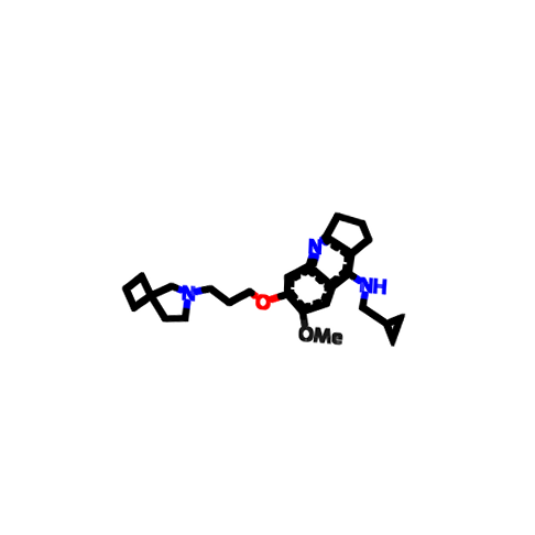 COc1cc2c(NCC3CC3)c3c(nc2cc1OCCCN1CCC2(CCC2)C1)CCC3